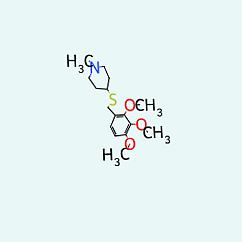 COc1ccc(CSC2CCN(C)CC2)c(OC)c1OC